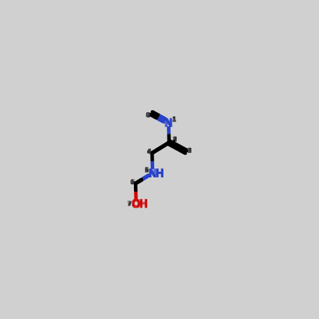 C=NC(=C)CNCO